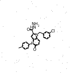 Cc1ccc(-n2c(=O)ccc3c2cc(C(=O)NN)n3Cc2cccc(Cl)c2)cc1